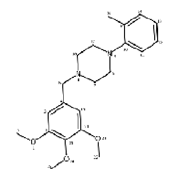 COc1cc(CN2CCN(c3ccccc3C)CC2)cc(OC)c1OC